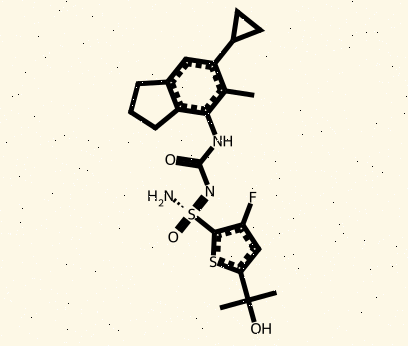 Cc1c(C2CC2)cc2c(c1NC(=O)N=[S@](N)(=O)c1sc(C(C)(C)O)cc1F)CCC2